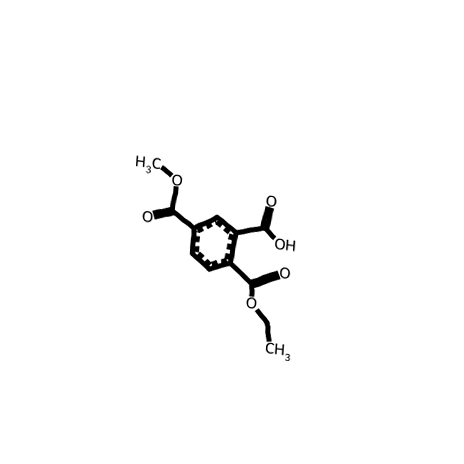 CCOC(=O)c1ccc(C(=O)OC)cc1C(=O)O